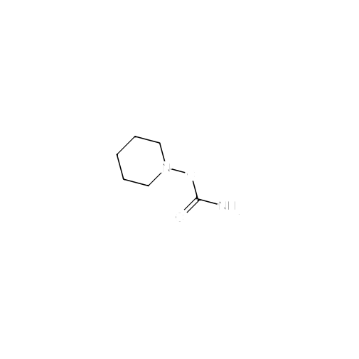 NC(=O)ON1CCCCC1